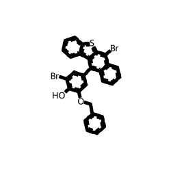 Oc1c(Br)cc(-c2c3ccccc3c(Br)c3sc4ccccc4c23)cc1OCc1ccccc1